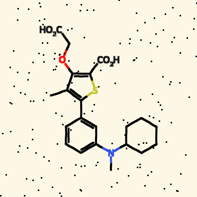 Cc1c(-c2cccc(N(C)C3CCCCC3)c2)sc(C(=O)O)c1OCC(=O)O